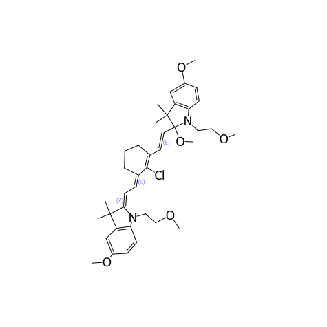 COCCN1/C(=C\C=C2/CCCC(/C=C/C3(OC)N(CCOC)c4ccc(OC)cc4C3(C)C)=C2Cl)C(C)(C)c2cc(OC)ccc21